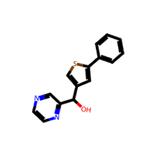 OC(c1csc(-c2ccccc2)c1)c1cnccn1